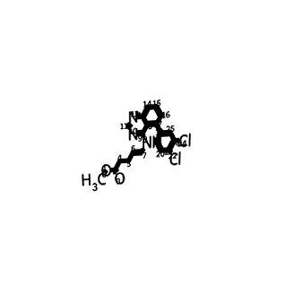 COC(=O)CC/C=C/Nc1ncnc2cccc(-c3ccc(Cl)c(Cl)c3)c12